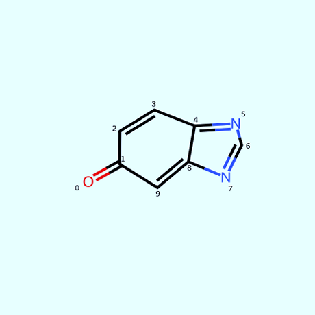 O=C1C=CC2=N[C]=NC2=C1